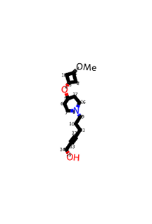 COC1CC(OC2CCN(CCCC#CCO)CC2)C1